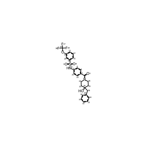 O=C(c1ccc(NS(=O)(=O)c2cccc(OC(F)(F)F)c2)cc1)N1CCC(O)(Cc2ccccc2)CC1